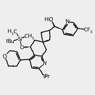 CC(C)c1cc(C2=CCOCC2)c2c(n1)CC1(CC(C(O)c3ccc(C(F)(F)F)cn3)C1)C[C@@H]2O[Si](C)(C)C(C)(C)C